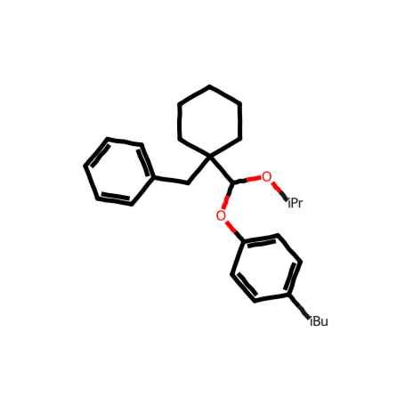 CCC(C)c1ccc(OC(OC(C)C)C2(Cc3ccccc3)CCCCC2)cc1